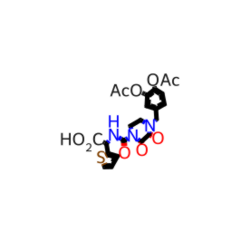 CC(=O)Oc1ccc(CN2CCN(C(=O)NC(C(=O)O)c3cccs3)C(=O)C2=O)cc1OC(C)=O